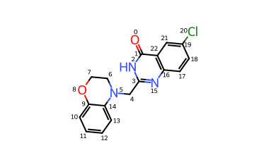 O=c1[nH]c(CN2CCOc3ccccc32)nc2ccc(Cl)cc12